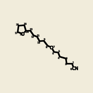 N#CCCCCCCOCCCCCCC1CCCO1